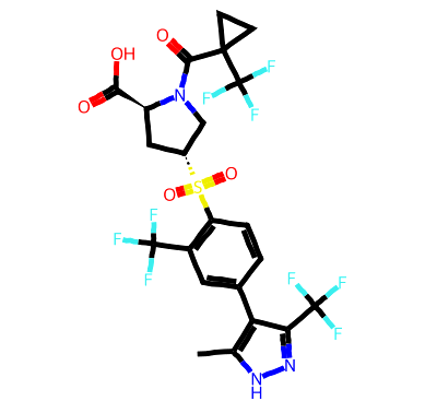 Cc1[nH]nc(C(F)(F)F)c1-c1ccc(S(=O)(=O)[C@@H]2C[C@@H](C(=O)O)N(C(=O)C3(C(F)(F)F)CC3)C2)c(C(F)(F)F)c1